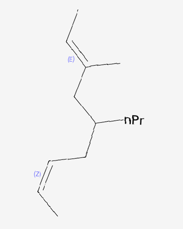 C/C=C\CC(CCC)C/C(C)=C/C